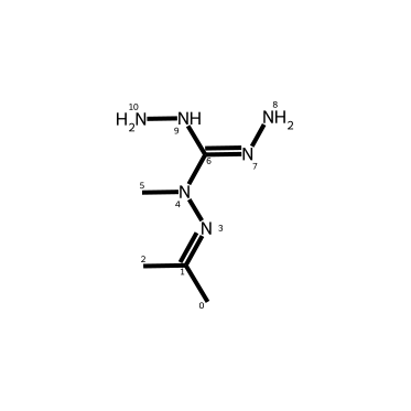 CC(C)=NN(C)/C(=N/N)NN